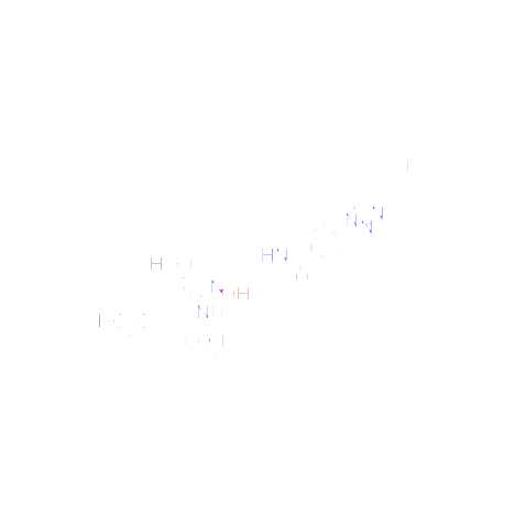 O=C(O)CCC(NC(=S)N(O)C(CCCCNC(=O)c1ccc(-n2cc(CCCF)nn2)cc1)C(=O)O)C(=O)O